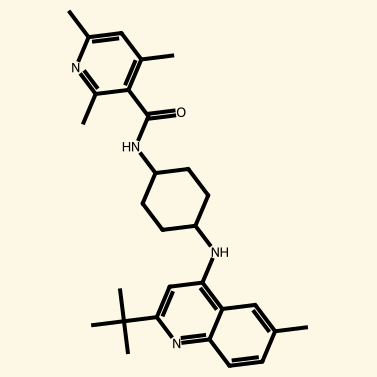 Cc1ccc2nc(C(C)(C)C)cc(NC3CCC(NC(=O)c4c(C)cc(C)nc4C)CC3)c2c1